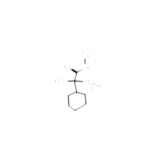 CC(C)(C)C(C(=O)OP)(C1CCCCC1)C(C)(C)C.[Pd]